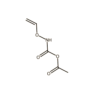 C=CONC(=O)OC(C)=O